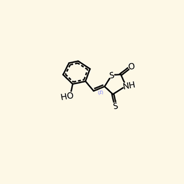 O=C1NC(=S)/C(=C/c2ccccc2O)S1